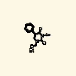 CCOCn1cc(-c2ccccc2)c(=O)n([Se])c1=O